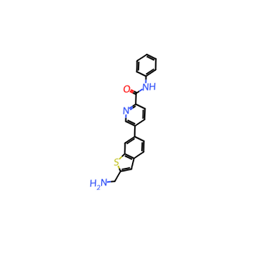 NCc1cc2ccc(-c3ccc(C(=O)Nc4ccccc4)nc3)cc2s1